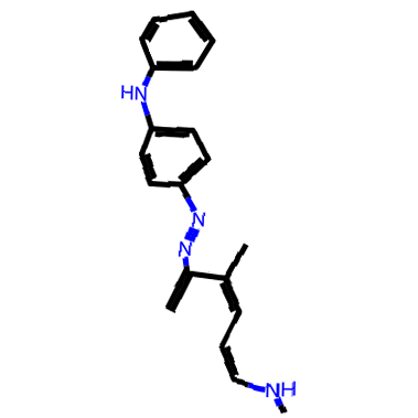 C=C(/N=N/c1ccc(Nc2ccccc2)cc1)/C(C)=C\C=C/NC